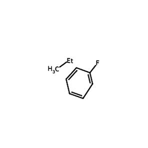 CCC.Fc1ccccc1